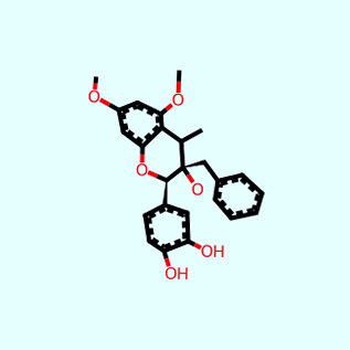 COc1cc(OC)c2c(c1)O[C@H](c1ccc(O)c(O)c1)[C@@](Cc1ccccc1)(OC)C2C